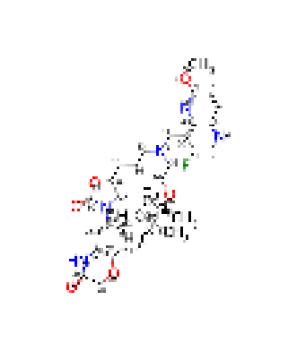 COc1ccc2ncc(F)c(CN(CCCC3CN(c4ccc5c(c4)NC(=O)CO5)C(=O)O3)CCO[Si](C)(C)C(C)(C)C)c2n1